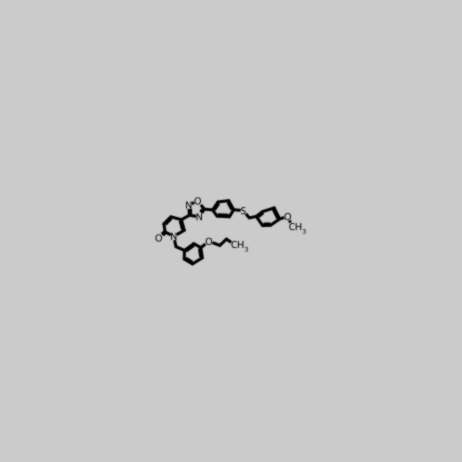 CCCOc1cccc(Cn2cc(-c3noc(-c4ccc(SCc5ccc(OC)cc5)cc4)n3)ccc2=O)c1